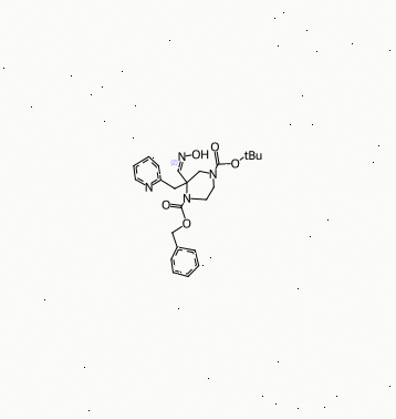 CC(C)(C)OC(=O)N1CCN(C(=O)OCc2ccccc2)C(/C=N\O)(Cc2ccccn2)C1